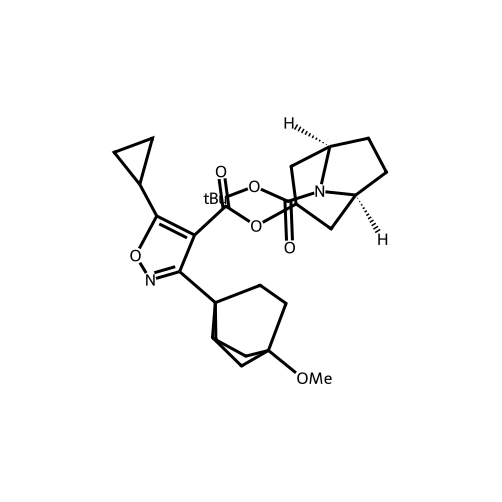 COC12CCC(c3noc(C4CC4)c3C(=O)OC3C[C@H]4CC[C@@H](C3)N4C(=O)OC(C)(C)C)(CC1)CC2